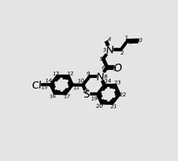 C=CCN(C)CC(=O)N1CC(c2ccc(Cl)cc2)Sc2ccccc21